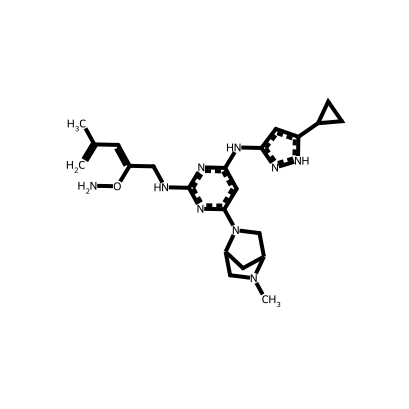 C=C(C)/C=C(/CNc1nc(Nc2cc(C3CC3)[nH]n2)cc(N2CC3CC2CN3C)n1)ON